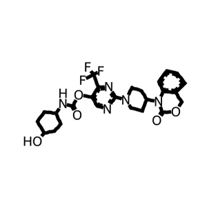 O=C(NC1CCC(O)CC1)Oc1cnc(N2CCC(N3C(=O)OCc4ccccc43)CC2)nc1C(F)(F)F